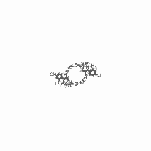 CN1C(c2ccc(Cl)cc2Cl)C2=CN(CCCCCOC(O)C3=CN(CCCCCOC2=O)S(=O)(=O)N(C)C3c2ccc(Cl)cc2Cl)S1(=O)=O